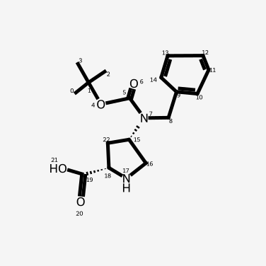 CC(C)(C)OC(=O)N(Cc1ccccc1)[C@@H]1CN[C@H](C(=O)O)C1